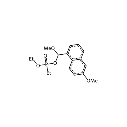 CCOP(=O)(CC)OC(OC)c1cccc2cc(OC)ccc12